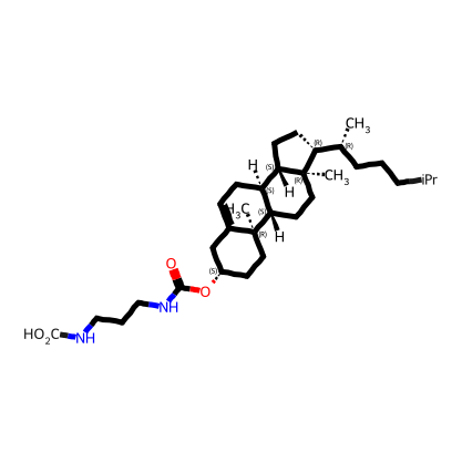 CC(C)CCC[C@@H](C)[C@H]1CC[C@H]2[C@@H]3CC=C4C[C@@H](OC(=O)NCCCNC(=O)O)CC[C@]4(C)[C@H]3CC[C@]12C